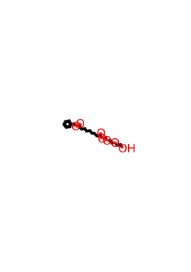 O=C(CCCCCCCC(=O)OCc1ccccc1)OCOCCOCCO